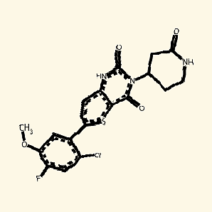 COc1cc(-c2cc3[nH]c(=O)n(C4CCNC(=O)C4)c(=O)c3s2)c(Cl)cc1F